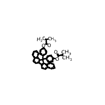 C=C(C)C(=O)Oc1ccc(C2(c3ccc(OC(=O)C(=C)C)cc3)c3c(ccc4ccccc34)-c3ccc4ccccc4c32)cc1